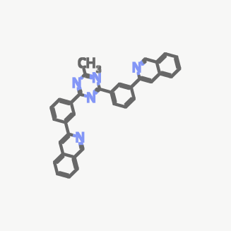 Cc1nc(-c2cccc(-c3cc4ccccc4cn3)c2)nc(-c2cccc(-c3cc4ccccc4cn3)c2)n1